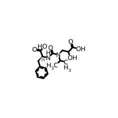 CC(C)N(CC(O)C(=O)O)C(=O)N[C@@H](Cc1ccccc1)C(=O)O